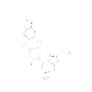 CC[C@@H]1CN(/C(=C/C(=O)NC)c2nc(CC#N)c[nH]2)[C@@H](C)CN1C(C)c1ccc2cc(F)sc2n1